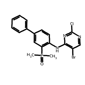 CP(C)(=O)c1cc(-c2ccccc2)ccc1Nc1nc(Cl)ncc1Br